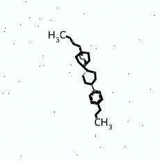 CCCCC12CCC([C@H]3CC[C@H](c4ccc(CCC)cc4)CC3)(CC1)CC2